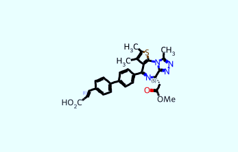 COC(=O)C[C@@H]1N=C(c2ccc(-c3ccc(/C=C/C(=O)O)cc3)cc2)c2c(sc(C)c2C)-n2c(C)nnc21